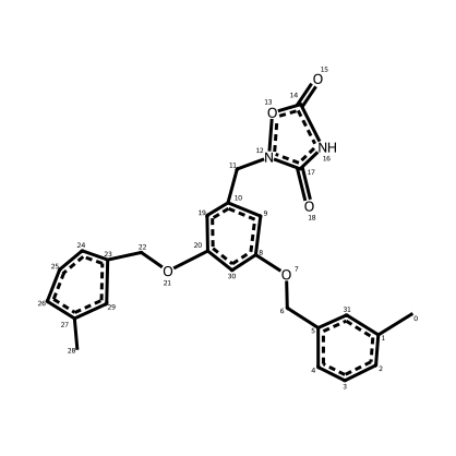 Cc1cccc(COc2cc(Cn3oc(=O)[nH]c3=O)cc(OCc3cccc(C)c3)c2)c1